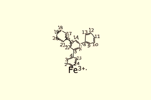 [Fe+3].c1ccc(-c2cc(-c3ccccc3)cc(-c3ccccc3)c2)cc1